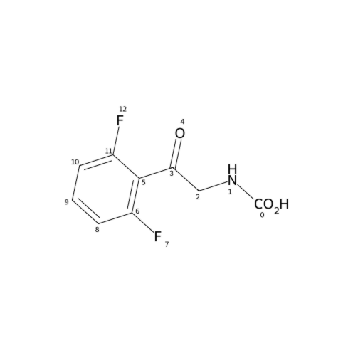 O=C(O)NCC(=O)c1c(F)cccc1F